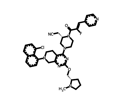 CN1CCC[C@H]1COc1nc2c(c(N3CCN(C(=O)/C(F)=C/c4ccncc4)[C@@H](CC#N)C3)n1)CCN(c1cccc3cccc(Cl)c13)C2